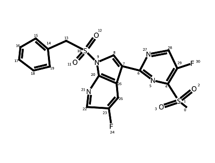 CS(=O)(=O)c1nc(-c2cn(S(=O)(=O)Cc3ccccc3)c3ncc(F)cc23)ncc1F